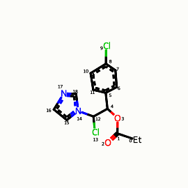 CCC(=O)OC(c1ccc(Cl)cc1)C(Cl)n1ccnc1